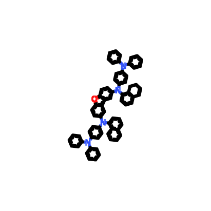 C1=Cc2cccc(N(c3ccc(N(c4ccccc4)c4ccccc4)cc3)c3ccc4oc5ccc(N(c6ccc(N(c7ccccc7)c7ccccc7)cc6)c6cccc7ccccc67)cc5c4c3)c2CC1